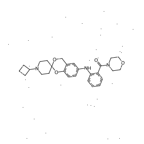 O=C(c1ccccc1Nc1ccc2c(c1)COC1(CCN(C3CCC3)CC1)O2)N1CCOCC1